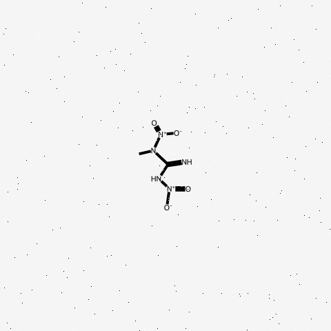 CN(C(=N)N[N+](=O)[O-])[N+](=O)[O-]